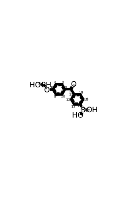 O=C(c1ccc(OBO)cc1)c1ccc(B(O)O)cc1